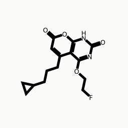 O=c1nc(OCCF)c2c(CCCC3CC3)cc(=O)oc2[nH]1